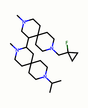 CC(C)N1CCC2(CCN(C)C(C3CN(C)CCC34CCN(CC3(F)CC3)CC4)C2)CC1